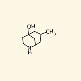 CC1CC2CC(O)(CCN2)C1